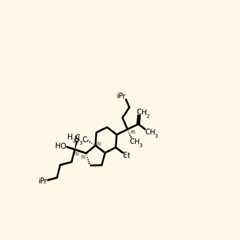 C=C(C)[C@](C)(CCC(C)C)C1CC[C@@]2(C)C(CC[C@@H]2[C@@](C)(O)CCCC(C)C)C1CC